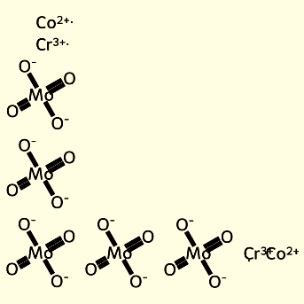 [Co+2].[Co+2].[Cr+3].[Cr+3].[O]=[Mo](=[O])([O-])[O-].[O]=[Mo](=[O])([O-])[O-].[O]=[Mo](=[O])([O-])[O-].[O]=[Mo](=[O])([O-])[O-].[O]=[Mo](=[O])([O-])[O-]